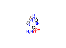 Cc1ccc(NC(=O)c2ccc(C(N)=O)c(O)c2)cc1Nc1nc(-c2cccnc2)cs1